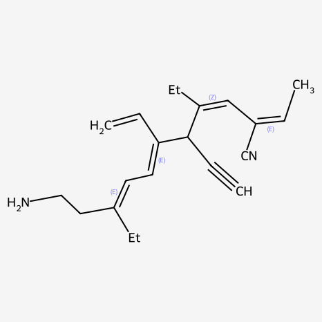 C#CC(/C(=C\C(C#N)=C/C)CC)/C(C=C)=C/C=C(\CC)CCN